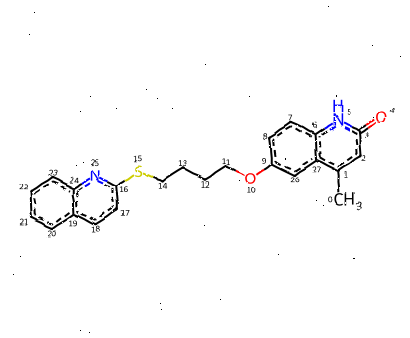 Cc1cc(=O)[nH]c2ccc(OCCCCSc3ccc4ccccc4n3)cc12